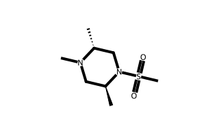 C[C@@H]1CN(S(C)(=O)=O)[C@@H](C)CN1C